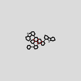 c1ccc(-c2ccccc2-c2c(-c3ccccc3)cccc2N(c2ccc(-c3cccc4sc5ccccc5c34)cc2)c2cccc(-c3cccc4c3sc3ccccc34)c2)cc1